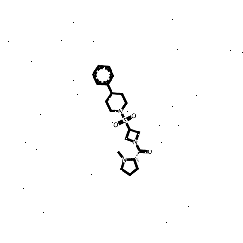 CN1CCC[C@H]1C(=O)N1CC(S(=O)(=O)N2CCC(c3ccccc3)CC2)C1